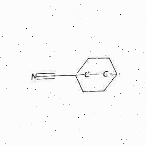 N#CC12CC[C](CC1)CC2